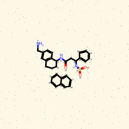 NCc1ccc2c(c1)CCCC2NC(=O)CC(N=S(=O)=O)c1ccccc1.c1ccc2ccccc2c1